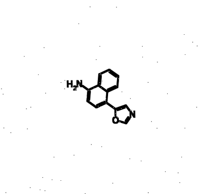 Nc1ccc(-c2cnco2)c2ccccc12